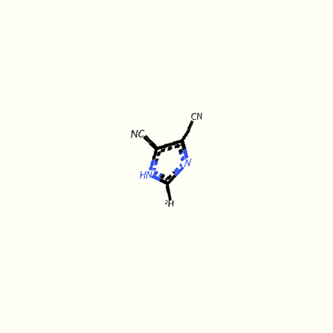 [2H]c1nc(C#N)c(C#N)[nH]1